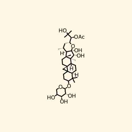 CC(=O)O[C@@H]([C@H]1C[C@@H](C)[C@H]2[C@@](O)(O1)[C@H](O)[C@@]1(C)[C@@H]3CC[C@H]4C(C)(C)C(O[C@@H]5OCC(O)[C@H](O)[C@H]5O)CCC45C[C@@]35CC[C@]21C)C(C)(C)O